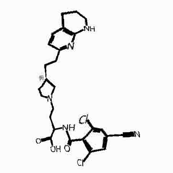 N#Cc1cc(Cl)c(C(=O)NC(CCN2CC[C@@H](CCc3ccc4c(n3)NCCC4)C2)C(=O)O)c(Cl)c1